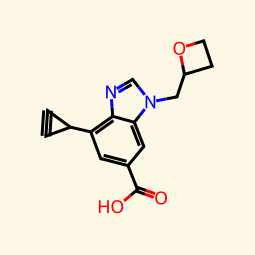 O=C(O)c1cc(C2C#C2)c2ncn(CC3CCO3)c2c1